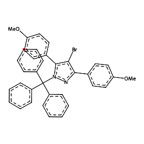 COc1ccc(-c2nn(C(c3ccccc3)(c3ccccc3)c3ccccc3)c(-c3ccc(OC)cc3)c2Br)cc1